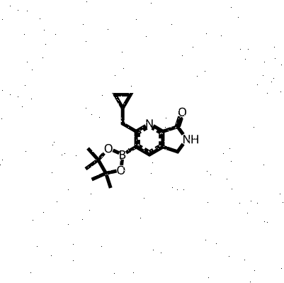 CC1(C)OB(c2cc3c(nc2CC2CC2)C(=O)NC3)OC1(C)C